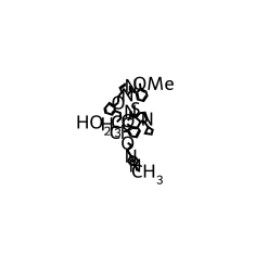 COc1ccccc1-c1nccc(COc2ccccc2CC(Oc2nsc3cnc(C4CCC4)c(-c4ccc(OCCN5CCN(C)CC5)c(Cl)c4C)c23)C(=O)O)n1